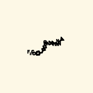 O=C(N1CC2(CC(Cc3ccc(OC(F)(F)F)cc3)C2)C1)N1CC2(CC(c3nc(C4CC4)n[nH]3)C2)C1